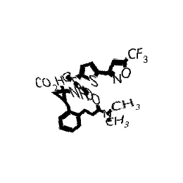 CN(C)C(=O)CCc1ccccc1C1CC1(NS(=O)(=O)c1ccc(-c2cc(C(F)(F)F)on2)s1)C(=O)O